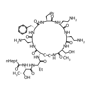 CCCCCCCC(=O)N[C@H](C(=O)N[C@@H](CC)C(=O)N[C@H]1CCNC(=O)[C@H]([C@@H](C)O)NC(=O)[C@H](CCN)NC(=O)[C@H](CCN)NC(=O)[C@H](CC(C)C)NC(=O)[C@@H](Cc2ccccc2)NC(=O)[C@H](CCN)NC1=O)[C@@H](C)O